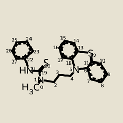 CN(CCCN1c2ccccc2Sc2ccccc21)C(=S)Nc1ccccc1